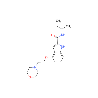 CCC(C)NC(=O)c1cc2c(OCCN3CCOCC3)cccc2[nH]1